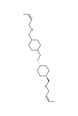 C/C=C\COCC1CCC(CC[C@H]2CC[C@H](COC/C=C\C)CC2)CC1